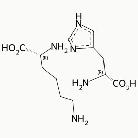 NCCCC[C@@H](N)C(=O)O.N[C@H](Cc1c[nH]cn1)C(=O)O